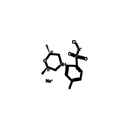 C[C@@H]1CNC[C@@H](C)O1.Cc1ccc(S(=O)(=O)[N-]Cl)cc1.[Na+]